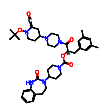 Cc1cc(C)cc(C[C@@H](OC(=O)N2CCC(N3CCc4ccccc4NC3=O)CC2)C(=O)N2CCN(C3CCN(OC(C)(C)C)C(=C=O)C3)CC2)c1